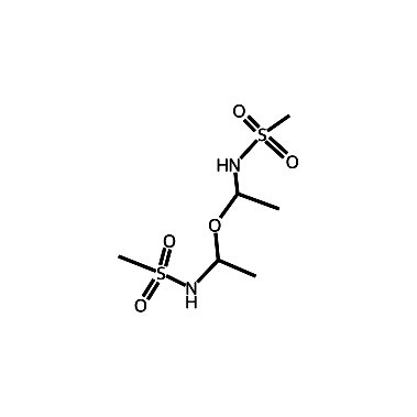 CC(NS(C)(=O)=O)OC(C)NS(C)(=O)=O